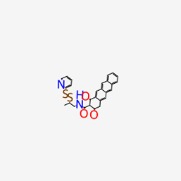 CC(CNC(=O)C1C(=O)Cc2cc3cc4ccccc4cc3cc2C1=O)SSc1ccccn1